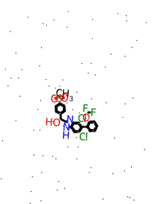 CS(=O)(=O)c1ccc(C(O)c2nc3c(Cl)c(-c4ccccc4OC(F)F)c(Cl)cc3[nH]2)cc1